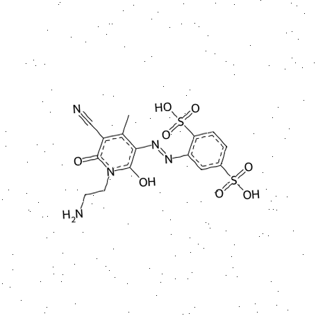 Cc1c(N=Nc2cc(S(=O)(=O)O)ccc2S(=O)(=O)O)c(O)n(CCN)c(=O)c1C#N